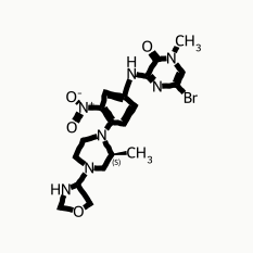 C[C@H]1CN(C2COCN2)CCN1c1ccc(Nc2nc(Br)cn(C)c2=O)cc1[N+](=O)[O-]